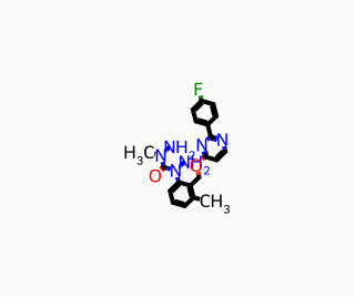 Cc1cccc(N(N)C(=O)N(C)N)c1COc1ccnc(-c2ccc(F)cc2)n1